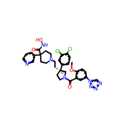 COc1ccc(-n2cnnn2)cc1C(=O)N1CC[C@@](CCN2CCC(C(=O)NO)(c3cccnc3)CC2)(c2ccc(Cl)c(Cl)c2)C1